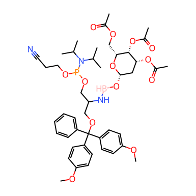 COc1ccc(C(OCC(COP(OCCC#N)N(C(C)C)C(C)C)NBO[C@H]2C[C@@H](OC(C)=O)[C@@H](OC(C)=O)[C@@H](COC(C)=O)O2)(c2ccccc2)c2ccc(OC)cc2)cc1